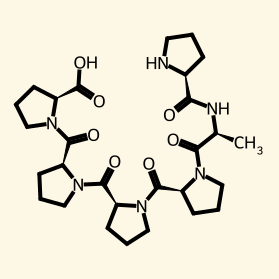 C[C@H](NC(=O)[C@@H]1CCCN1)C(=O)N1CCC[C@H]1C(=O)N1CCC[C@H]1C(=O)N1CCC[C@H]1C(=O)N1CCC[C@H]1C(=O)O